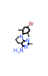 Cc1nc(N)c2c(n1)N(c1c(C)cc(Br)cc1C)CCC2